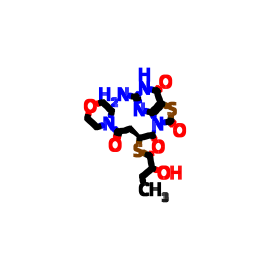 CCC(O)C1O[C@@H](n2c(=O)sc3c(=O)[nH]c(N)nc32)[C@H](CC(=O)N2CCOCC2)S1